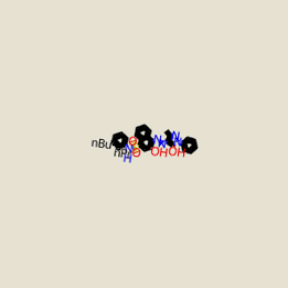 CCCCc1cccc(NS(=O)(=O)c2cc(O)c(N=Nc3c(C)nn(-c4ccccc4)c3O)c3ccccc23)c1CCC